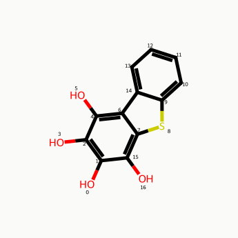 Oc1c(O)c(O)c2c(sc3ccccc32)c1O